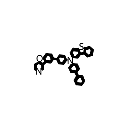 c1ccc(-c2ccc(N(c3ccc(-c4ccc5oc6ccncc6c5c4)cc3)c3ccc4sc5ccccc5c4c3)cc2)cc1